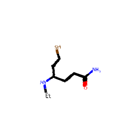 CCNC(CCS)CCC(N)=O